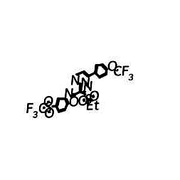 CCS(=O)(=O)c1nn2c(-c3ccc(OC(F)(F)F)cc3)ccnc2c1-c1nc2cc(S(=O)(=O)C(F)(F)F)ccc2o1